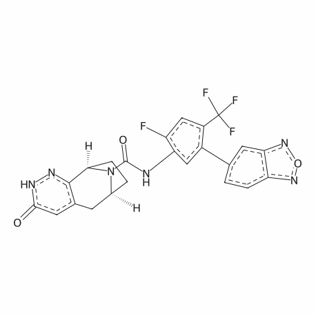 O=C(Nc1cc(-c2ccc3nonc3c2)c(C(F)(F)F)cc1F)N1[C@H]2CC[C@@H]1c1n[nH]c(=O)cc1C2